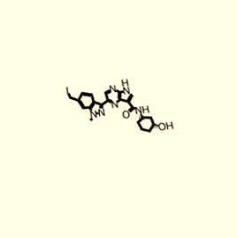 Cn1nc(-c2cnc3[nH]cc(C(=O)N[C@@H]4CCC[C@H](O)C4)c3n2)c2ccc(CI)cc21